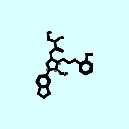 CCCON(CCC)C(=O)CN1C[C@H](c2ccc3c(c2)OCO3)[C@@H](C(=O)O)[C@@H]1CCOc1ccccc1OC